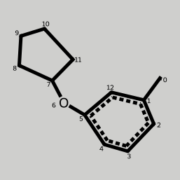 [CH2]c1cccc(OC2CCCC2)c1